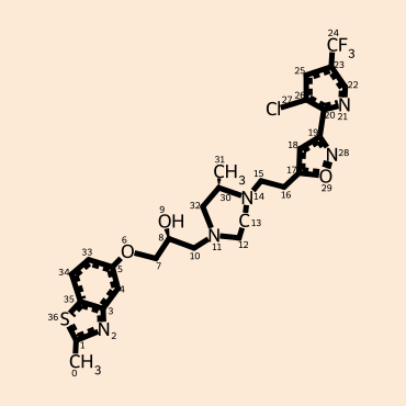 Cc1nc2cc(OC[C@@H](O)CN3CCN(CCc4cc(-c5ncc(C(F)(F)F)cc5Cl)no4)[C@@H](C)C3)ccc2s1